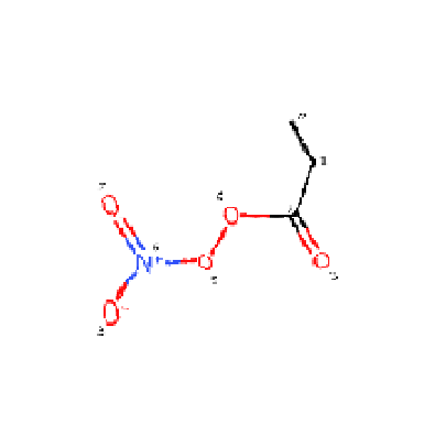 CCC(=O)OO[N+](=O)[O-]